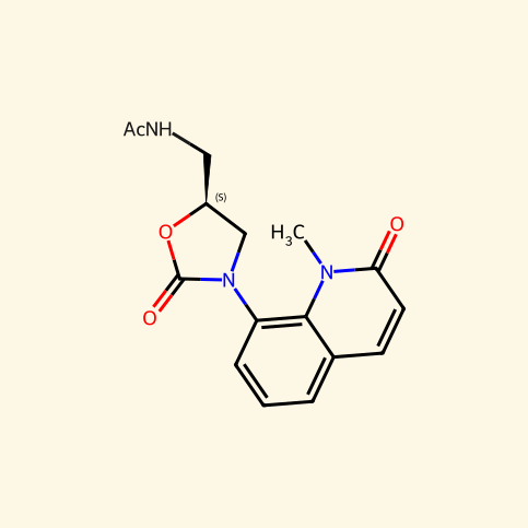 CC(=O)NC[C@H]1CN(c2cccc3ccc(=O)n(C)c23)C(=O)O1